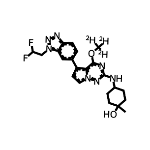 [2H]C([2H])([2H])Oc1nc(NC2CCC(C)(O)CC2)nn2ccc(-c3ccc4nnn(CC(F)F)c4c3)c12